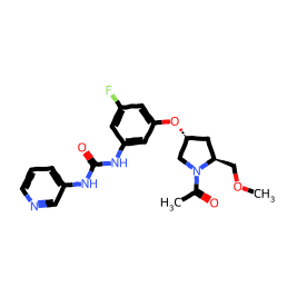 COC[C@@H]1C[C@@H](Oc2cc(F)cc(NC(=O)Nc3cccnc3)c2)CN1C(C)=O